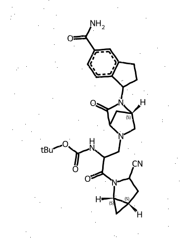 CC(C)(C)OC(=O)NC(CN1C[C@@H]2CC1C(=O)N2C1CCc2cc(C(N)=O)ccc21)C(=O)N1C(C#N)C[C@@H]2C[C@@H]21